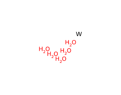 O.O.O.O.O.[W]